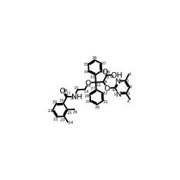 Cc1cc(C)nc(OC(C(=O)O)C(OCCNC(=O)c2cccc(C)c2C)(c2ccccc2)c2ccccc2)n1